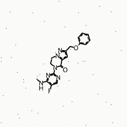 CNc1nc(N2CCn3nc(COc4ccccc4)cc3C2=O)ncc1F